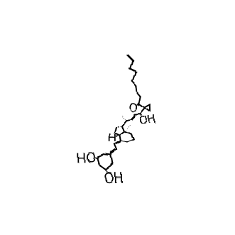 CCCCCCCCC(=O)C1([C@@H](O)/C=C/[C@@H](C)[C@H]2CC[C@H]3/C(=C/C=C4C[C@@H](O)C[C@H](O)C4)CCC[C@]23C)CC1